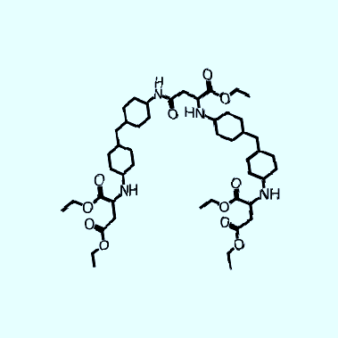 CCOC(=O)CC(NC1CCC(CC2CCC(NC(=O)CC(NC3CCC(CC4CCC(NC(CC(=O)OCC)C(=O)OCC)CC4)CC3)C(=O)OCC)CC2)CC1)C(=O)OCC